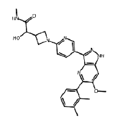 CNC(=O)C(O)C1CN(c2ccc(-c3n[nH]c4cc(OC)c(-c5cccc(C)c5C)nc34)cn2)C1